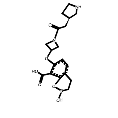 O=C(O)c1c(OC2CN(C(=O)C[C@H]3CCNC3)C2)ccc2c1OB(O)CC2